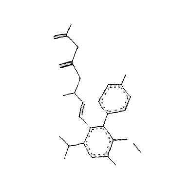 COc1c(F)cc(C(C)C)c(C=CC(O)CC(=O)CC(=O)O)c1-c1ccc(F)cc1